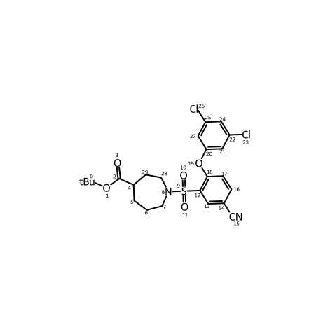 CC(C)(C)OC(=O)C1CCCN(S(=O)(=O)c2cc(C#N)ccc2Oc2cc(Cl)cc(Cl)c2)CC1